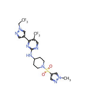 Cn1cc(S(=O)(=O)N2CCC(Nc3ncc(C(F)(F)F)c(-c4cnn(CC(F)(F)F)c4)n3)CC2)cn1